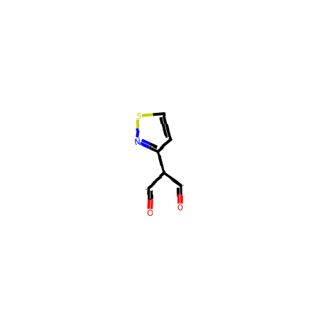 O=[C]C([C]=O)c1ccsn1